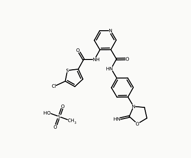 CS(=O)(=O)O.N=C1OCCN1c1ccc(NC(=O)c2cnccc2NC(=O)c2ccc(Cl)s2)cc1